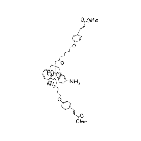 COC(=O)/C=C/c1ccc(OCCCCCC(=O)CC(Cc2cccc(N)c2)(Cc2cccc(N)c2)C(O)(O)C(=O)CCCCCOc2ccc(/C=C/C(=O)OC)cc2)cc1